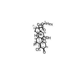 CCCCCCOC(=O)[C@@]1(OC(C)=O)[C@@H](C)C[C@H]2[C@@H]3C[C@H](F)C4=C(Cl)C(=O)CC[C@]4(C)[C@H]3[C@@H](O)C[C@@]21C